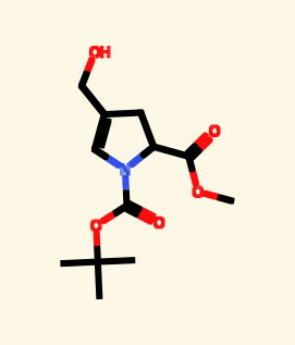 COC(=O)C1CC(CO)=CN1C(=O)OC(C)(C)C